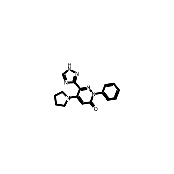 O=c1cc(N2CCCC2)c(-c2nc[nH]n2)nn1-c1ccccc1